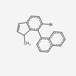 CC1C=Cc2ccc(Br)c(-c3cccc4ccccc34)c21